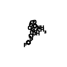 CNc1cc2c(c(C(=O)NC[C@@H]3CCN(Cc4ccc(F)cc4)C[C@H]3O)c1)OCCCO2